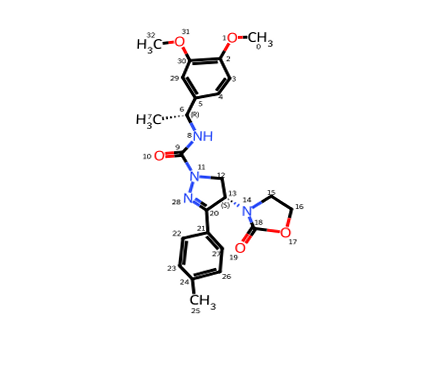 COc1ccc([C@@H](C)NC(=O)N2C[C@H](N3CCOC3=O)C(c3ccc(C)cc3)=N2)cc1OC